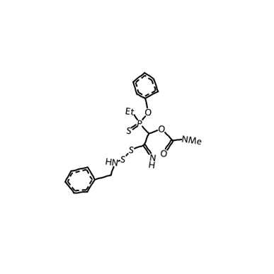 CCP(=S)(Oc1ccccc1)C(OC(=O)NC)C(=N)SSNCc1ccccc1